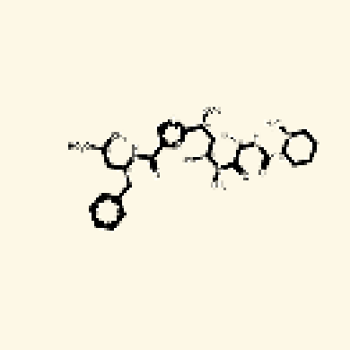 CCC(C)[C@H](NC(=O)[C@H]1CCCCN1C)C(=O)N(C)[C@H](C[C@H](OC(C)=O)c1nc(C(=O)N[C@@H](Cc2ccccc2)C[C@H](C)C(=O)O)cs1)C(C)C